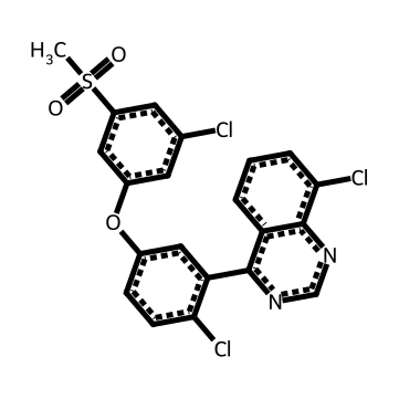 CS(=O)(=O)c1cc(Cl)cc(Oc2ccc(Cl)c(-c3ncnc4c(Cl)cccc34)c2)c1